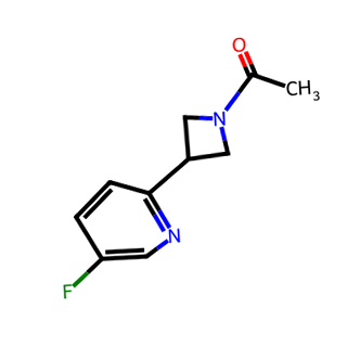 CC(=O)N1CC(c2ccc(F)cn2)C1